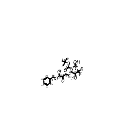 CC(C)(C)OC(=O)N(CO)[C@@H](CCC(=O)C(=O)OCc1ccccc1)C(O)C(F)(F)F